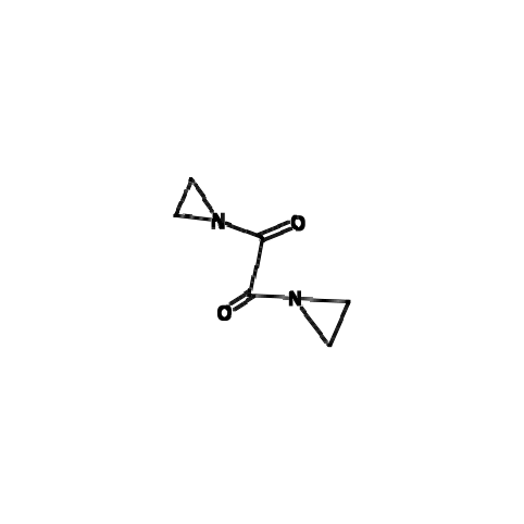 O=C(C(=O)N1CC1)N1CC1